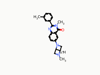 Cc1cccc(-c2nc3ccc(N4C[C@@H]5C4CN5C)cc3c(=O)n2C)c1